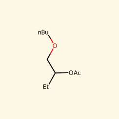 CCCCOCC(CC)OC(C)=O